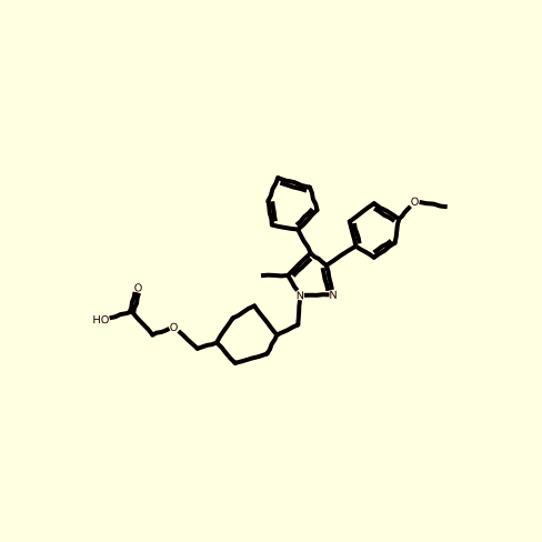 COc1ccc(-c2nn(CC3CCC(COCC(=O)O)CC3)c(C)c2-c2ccccc2)cc1